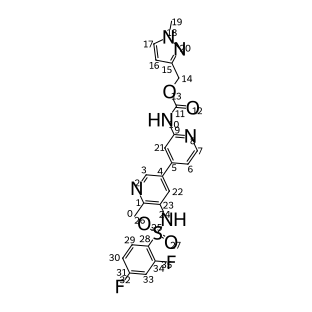 Cc1ncc(-c2ccnc(NC(=O)OCc3ccn(C)n3)c2)cc1NS(=O)(=O)c1ccc(F)cc1F